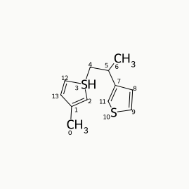 CC1=C[SH](CC(C)c2ccsc2)C=C1